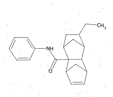 CCC1CC2CC1C1C3C=CC(C3)C21C(=O)Nc1ccccc1